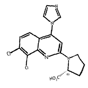 O=C(O)[C@H]1CCCN1c1cc(-n2ccnc2)c2ccc(Cl)c(Cl)c2n1